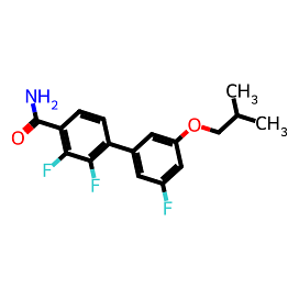 CC(C)COc1cc(F)cc(-c2ccc(C(N)=O)c(F)c2F)c1